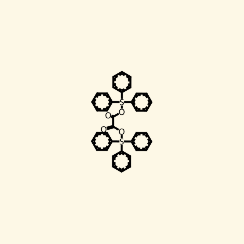 O=C(OS(c1ccccc1)(c1ccccc1)c1ccccc1)C(=O)OS(c1ccccc1)(c1ccccc1)c1ccccc1